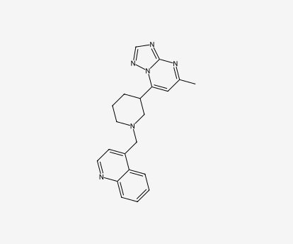 Cc1cc(C2CCCN(Cc3ccnc4ccccc34)C2)n2ncnc2n1